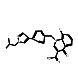 CC(C)Cn1cc(-c2ccc(Cn3cc(C(=O)O)c(=O)c4cccc(F)c43)cc2)cn1